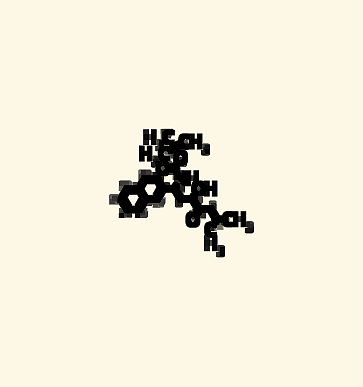 CC(C)CC(=O)C(O)CC(NC(=O)OC(C)(C)C)c1ccc2ccccc2c1